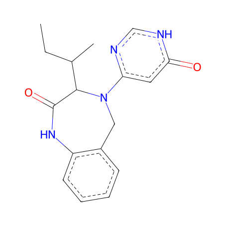 CCC(C)C1C(=O)Nc2ccccc2CN1c1cc(=O)[nH]cn1